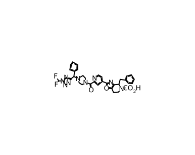 O=C(c1cc(-c2nc3c(o2)CCN(C(=O)O)C3Cc2ccccc2)ccn1)N1CCN(C(c2ccccc2)c2nnn(C(F)F)n2)CC1